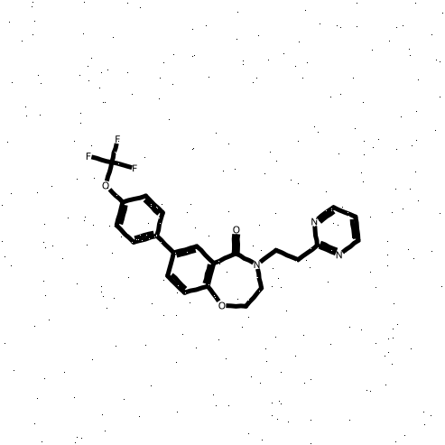 O=C1c2cc(-c3ccc(OC(F)(F)F)cc3)ccc2OCCN1CCc1ncccn1